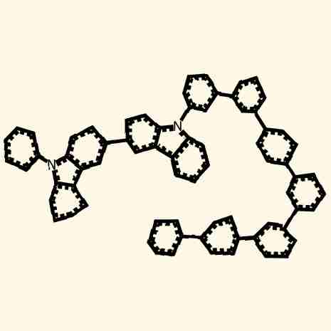 c1ccc(-c2ccc(-c3cccc(-c4cccc(-c5ccc(-c6cccc(-c7cccc(-n8c9ccccc9c9cc(-c%10ccc%11c(c%10)c%10ccccc%10n%11-c%10ccccc%10)ccc98)c7)c6)cc5)c4)c3)cc2)cc1